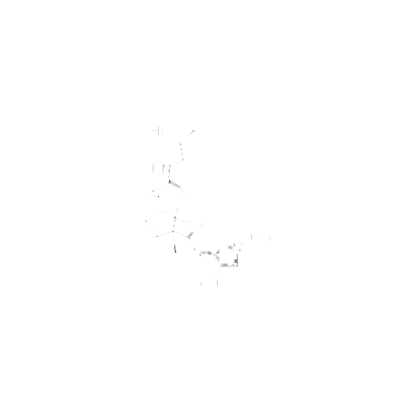 CCCCc1cn(C(C)(C)C)s/c1=N\C(=O)[C@]1(C)CC[C@H](NC(=O)NC[C@H](C)O)C1(C)C